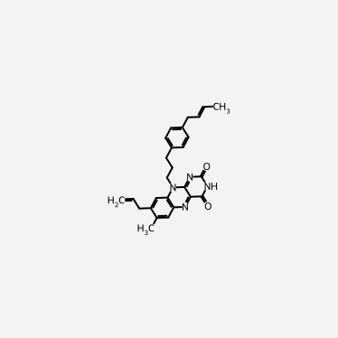 C=CCc1cc2c(cc1C)nc1c(=O)[nH]c(=O)nc-1n2CCCc1ccc(C/C=C/C)cc1